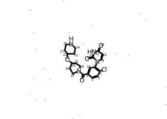 O=C(c1ccc(Cl)c(-n2ccc(=O)[nH]c2=O)c1)N1CCC(OC2CCNCC2)CC1